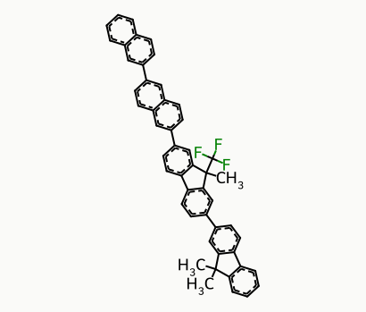 CC1(C)c2ccccc2-c2ccc(-c3ccc4c(c3)C(C)(C(F)(F)F)c3cc(-c5ccc6cc(-c7ccc8ccccc8c7)ccc6c5)ccc3-4)cc21